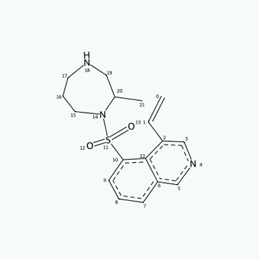 C=Cc1cncc2cccc(S(=O)(=O)N3CCCNCC3C)c12